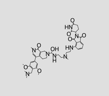 COc1cc(-c2cn(C)c(=O)c3c2CCN(C(O)NCCN(C)CCNc2cccc4c2C(=O)N(C2CCC(=O)NC2=O)C4=O)C3)cc(OC)c1CN(C)C